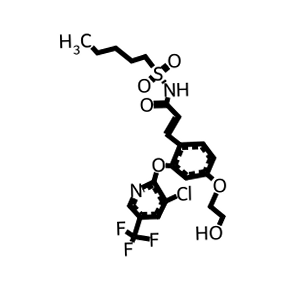 CCCCCS(=O)(=O)NC(=O)C=Cc1ccc(OCCO)cc1Oc1ncc(C(F)(F)F)cc1Cl